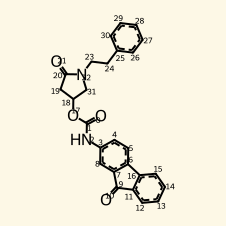 O=C(Nc1ccc2c(c1)C(=O)c1ccccc1-2)OC1CC(=O)N(CCc2ccccc2)C1